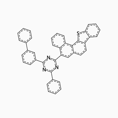 c1ccc(-c2cccc(-c3nc(-c4ccccc4)nc(-c4cc5ccc6c7ccccc7sc6c5c5ccccc45)n3)c2)cc1